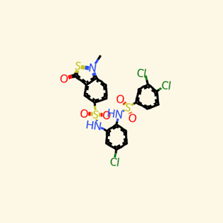 Cn1sc(=O)c2cc(S(=O)(=O)Nc3cc(Cl)ccc3NS(=O)(=O)c3ccc(Cl)c(Cl)c3)ccc21